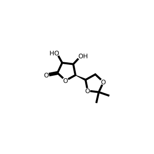 CC1(C)OCC([C@H]2OC(=O)C(O)C2O)O1